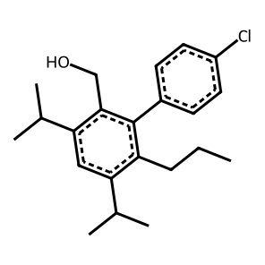 CCCc1c(C(C)C)cc(C(C)C)c(CO)c1-c1ccc(Cl)cc1